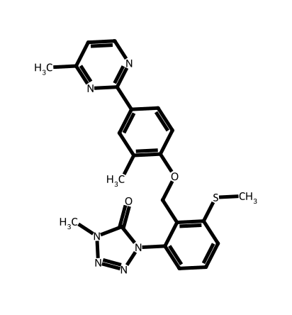 CSc1cccc(-n2nnn(C)c2=O)c1COc1ccc(-c2nccc(C)n2)cc1C